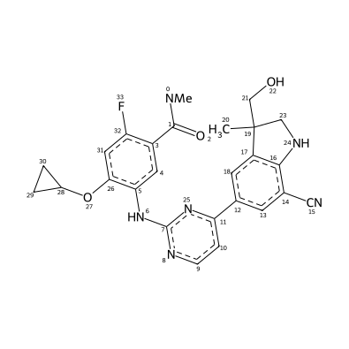 CNC(=O)c1cc(Nc2nccc(-c3cc(C#N)c4c(c3)C(C)(CO)CN4)n2)c(OC2CC2)cc1F